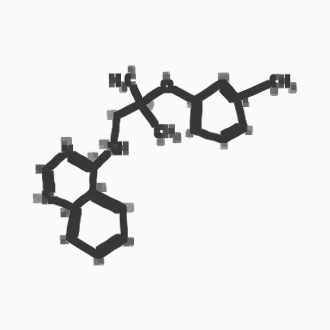 Cc1cccc(OC(C)(C)CNc2ncnc3ccccc23)c1